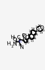 C/C(=C(/C#N)C(N)=O)c1ccc(-c2ccc3cc(N4CCOCC4)ccc3c2)n1C